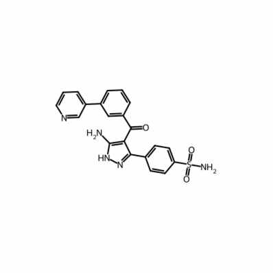 Nc1[nH]nc(-c2ccc(S(N)(=O)=O)cc2)c1C(=O)c1cccc(-c2cccnc2)c1